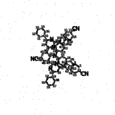 N#Cc1ccc(-c2ccc3c(c2)c2cc(-c4ccc(C#N)cc4)ccc2n3-c2c(-c3cc(-c4ccccc4)nc(-c4ccccc4)n3)cc(C#N)cc2-c2nc(-c3ccccc3)cc(-c3ccccc3)n2)cc1